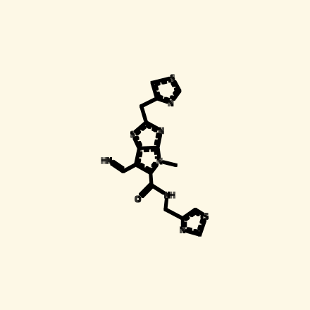 Cn1c(C(=O)NCc2cscn2)c(C=N)c2sc(Cc3cscn3)nc21